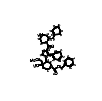 COCC1(O)CCN(C(=O)OCc2ccccc2)CC1n1cnc(C(=O)N2CCNC[C@H]2Cc2ccccc2)c1-c1ccccc1